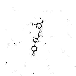 Fc1cc(F)cc(OCNc2nc(-c3ccc(Cl)cc3)cs2)c1